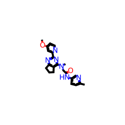 COc1ccnc(-c2nc3c(c(N(C)CC(=O)Nc4ccc(C)nc4)n2)CCC3)c1